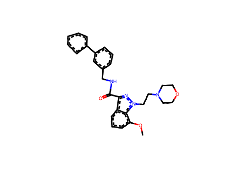 COc1cccc2c(C(=O)NCc3cccc(-c4ccccc4)c3)nn(CCN3CCOCC3)c12